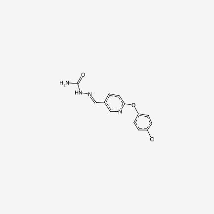 NC(=O)NN=Cc1ccc(Oc2ccc(Cl)cc2)nc1